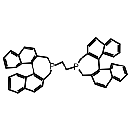 c1ccc2c3c(ccc2c1)CP(CCP1Cc2ccc4ccccc4c2-c2c(ccc4ccccc24)C1)Cc1ccc2ccccc2c1-3